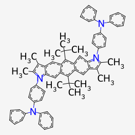 Cc1c(C)n(-c2ccc(N(c3ccccc3)c3ccccc3)cc2)c2cc3c(C(C)(C)C)c4cc5c(C)c(C)n(-c6ccc(N(c7ccccc7)c7ccccc7)cc6)c5cc4c(C(C)(C)C)c3cc12